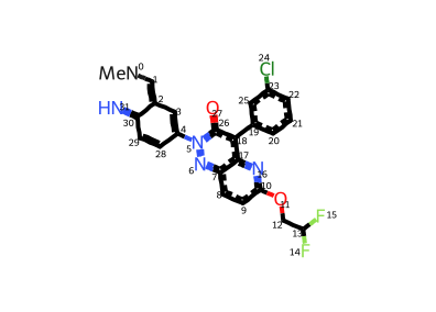 CN/C=C1/C=C(n2nc3ccc(OCC(F)F)nc3c(-c3cccc(Cl)c3)c2=O)C=CC1=N